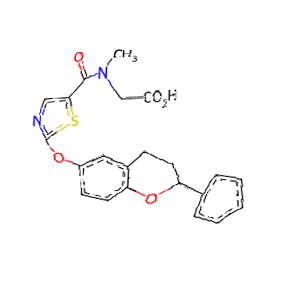 CN(CC(=O)O)C(=O)c1cnc(Oc2ccc3c(c2)CCC(c2ccccc2)O3)s1